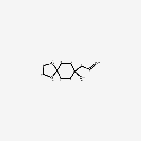 O=CCC1(O)CCC2(CC1)OCCO2